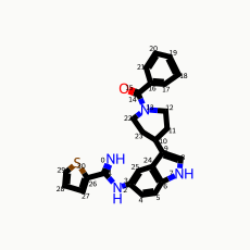 N=C(Nc1ccc2[nH]cc(C3CCN(C(=O)c4ccccc4)CC3)c2c1)c1cccs1